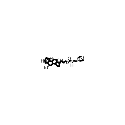 CC[C@H]1CC2C3CCC(CCCOC(=O)NCCN4CCOCC4)C3(C)CC[C@@H]2C2(C)CCCCC12